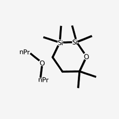 CC1(C)CC[Si](C)(C)[Si](C)(C)O1.CCCOCCC